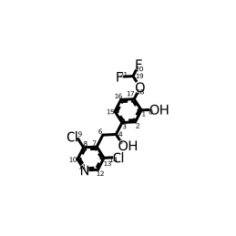 Oc1cc(C(O)Cc2c(Cl)cncc2Cl)ccc1OC(F)F